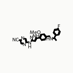 COc1cc(CNC(C)c2ccc(F)cc2)ccc1-c1cc(Nc2cnc(C#N)cn2)n[nH]1